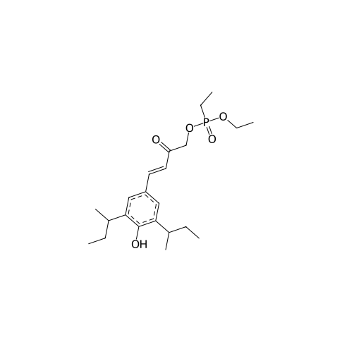 CCOP(=O)(CC)OCC(=O)C=Cc1cc(C(C)CC)c(O)c(C(C)CC)c1